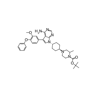 COc1cc(-c2cn([C@H]3CC[C@H](N4CCN(C(=O)OC(C)(C)C)C(C)C4)CC3)c3ncnc(N)c23)ccc1Oc1ccccc1